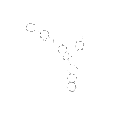 CC1Cc2c(OCc3ccc(-c4ccccc4)cn3)ccc3c2c(c(COc2cc4ccccc4cc2C(=O)O)n3Cc2ccc(Cl)cc2)S1